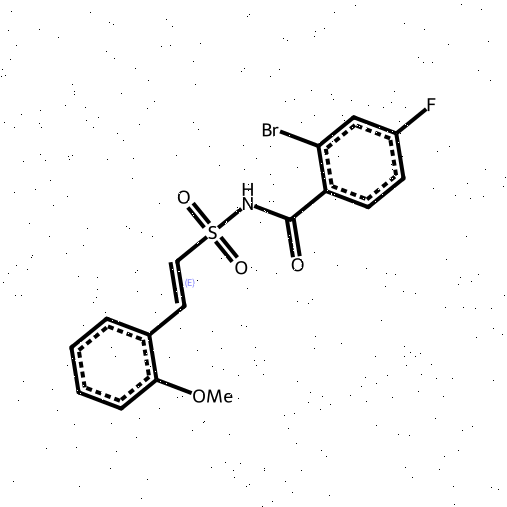 COc1ccccc1/C=C/S(=O)(=O)NC(=O)c1ccc(F)cc1Br